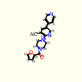 N#Cc1cc(-c2ccncc2)cnc1N1CCN(C(=O)c2ccco2)CC1